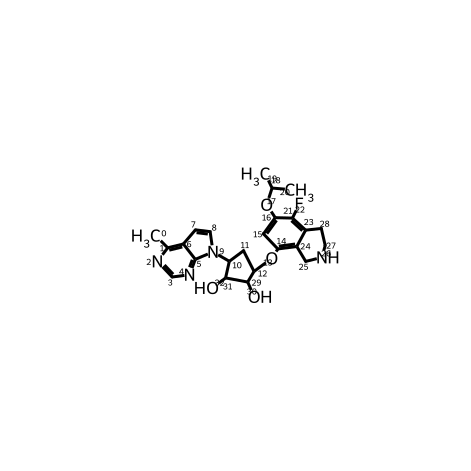 Cc1ncnc2c1ccn2C1CC(Oc2cc(OC(C)C)c(F)c3c2CNCC3)C(O)C1O